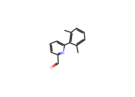 Cc1cccc(C)c1-c1cccc(C=O)n1